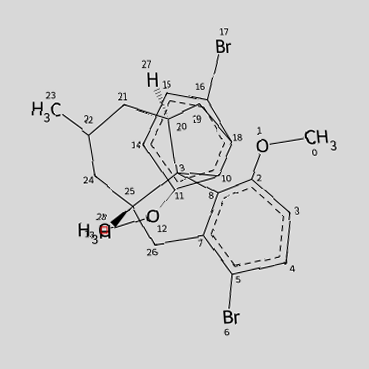 COc1ccc(Br)c2c1C13c4c(OC)ccc(Br)c4C[C@@H]1CC(C)C[C@H]3C2